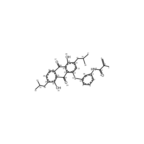 C=C(C)C(=O)Nc1cccc(Sc2cc(CC(C)C)c(O)c3c2C(=O)c2c(ccc(CC(C)C)c2O)C3=O)c1